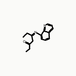 CCC(=O)C/C(CC)=N\c1cccc2cccnc12